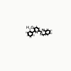 Cc1ccc(-c2ncc3ccccc3n2)nc1-c1ccccc1